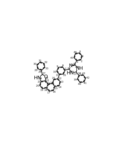 c1ccc(C2=NC(c3cccc(-c4ccc5ccc6ccc7c(c6c5c4)OC(c4ccccc4)N7)c3)NC(c3ccccc3)N2)cc1